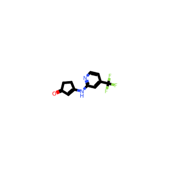 O=C1C=C(Nc2cc(C(F)(F)F)ccn2)CC1